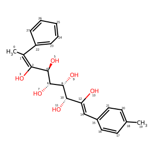 CC(=C(O)[C@@H](O)[C@@H](O)[C@H](O)[C@@H](O)C(O)=Cc1ccc(C)cc1)c1ccccc1